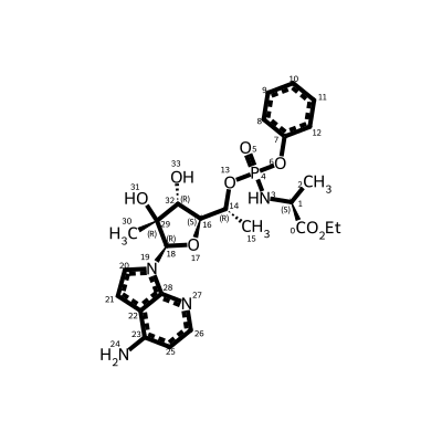 CCOC(=O)[C@H](C)NP(=O)(Oc1ccccc1)O[C@H](C)[C@H]1O[C@@H](n2ccc3c(N)ccnc32)[C@](C)(O)[C@@H]1O